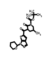 CC1CC(C(=O)c2cc3cnn(C4CCCCO4)c3s2)C(=O)N(C(=O)OC(C)(C)C)C1